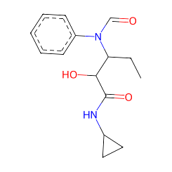 CCC(C(O)C(=O)NC1CC1)N(C=O)c1ccccc1